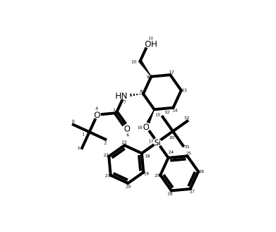 CC(C)(C)OC(=O)N[C@@H]1[C@@H](CO)CCC[C@H]1O[Si](c1ccccc1)(c1ccccc1)C(C)(C)C